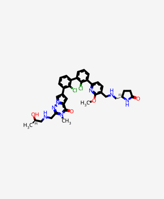 COc1nc(-c2cccc(-c3cccc(-c4cc5c(=O)n(C)c(CNC[C@@H](C)O)nn5c4)c3Cl)c2Cl)ccc1CNC[C@@H]1CCC(=O)N1